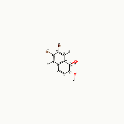 CO[C@@H]1C=Cc2c(C)c(Br)c(Br)c(C)c2[C@H]1O